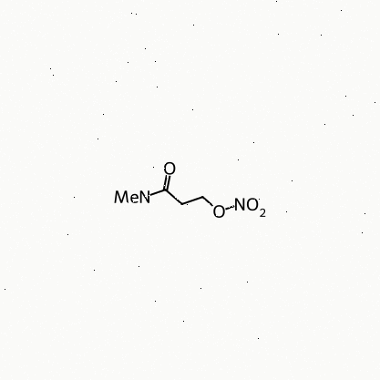 CNC(=O)CCO[N+](=O)[O-]